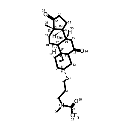 CN(CCCS[C@@H]1CC[C@@]2(C)C(C1)C(=O)C[C@@H]1[C@@H]2CC[C@]2(C)C(=O)CC[C@@H]12)C(=O)C(F)(F)F